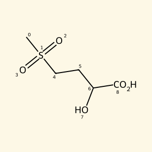 CS(=O)(=O)CCC(O)C(=O)O